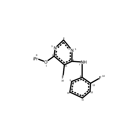 CC(C)Oc1ncnc(Nc2ccccc2F)c1F